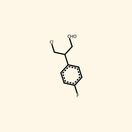 O=CCC(CCl)c1ccc(F)cc1